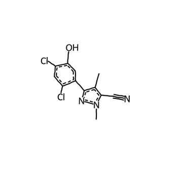 Cc1c(-c2cc(O)c(Cl)cc2Cl)nn(C)c1C#N